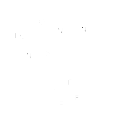 Cc1nc(-c2cccc(C(F)(F)F)c2)sc1C(=O)N1CCN(C2CCCC2)CC1